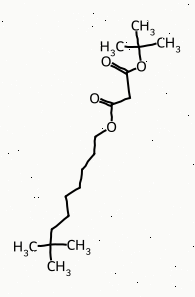 CC(C)(C)CCCCCCCOC(=O)CC(=O)OC(C)(C)C